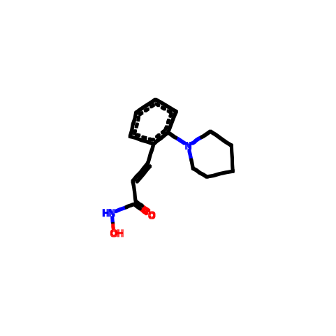 O=C(C=Cc1ccccc1N1CCCCC1)NO